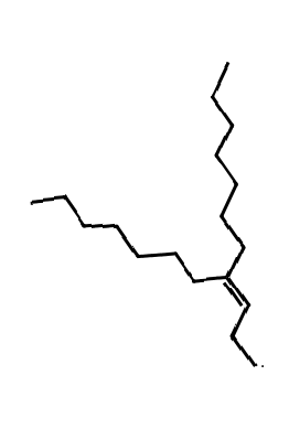 [CH2]CC=C(CCCCCCC)CCCCCCC